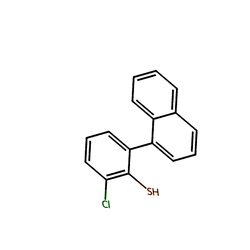 Sc1c(Cl)cccc1-c1cccc2ccccc12